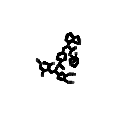 COc1ccc(C(Cc2c(Cl)c[n+]([O-])cc2Cl)OC(=O)c2ccc(CN(C(=O)O[C@H]3CN4CCC3CC4)c3cccc4cn[nH]c34)cc2)cc1OC